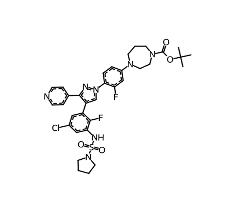 CC(C)(C)OC(=O)N1CCCN(c2ccc(-n3cc(-c4cc(Cl)cc(NS(=O)(=O)N5CCCC5)c4F)c(-c4ccncc4)n3)c(F)c2)CC1